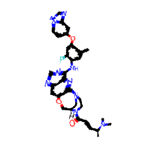 Cc1cc(Nc2ncnc3cc4c(nc23)N2CCN(C(=O)/C=C/[C@H](C)N(C)C)[C@@H](CO4)C2)c(F)cc1Oc1ccn2ncnc2c1